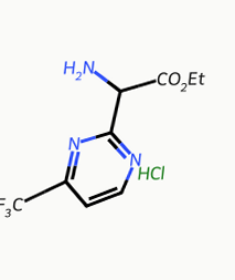 CCOC(=O)C(N)c1nccc(C(F)(F)F)n1.Cl